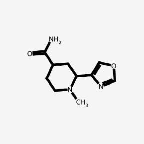 CN1CCC(C(N)=O)CC1c1cocn1